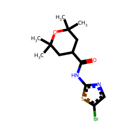 CC1(C)CC(C(=O)Nc2ncc(Br)s2)CC(C)(C)O1